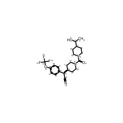 CC(O)C1CCN(C(=O)N2CCC(=C(C#N)c3ccc(OC(F)(F)F)cc3)CC2)CC1